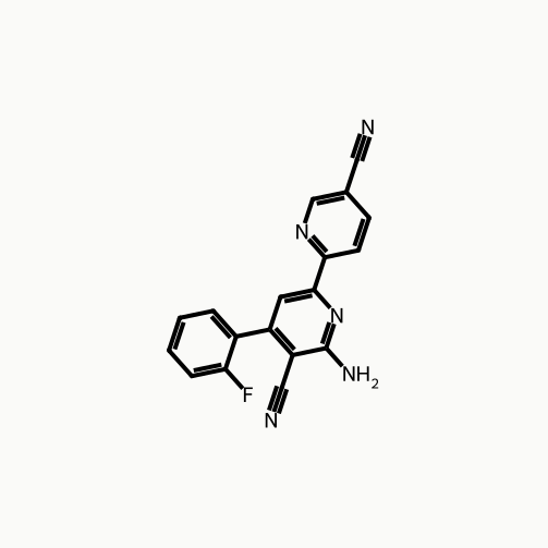 N#Cc1ccc(-c2cc(-c3ccccc3F)c(C#N)c(N)n2)nc1